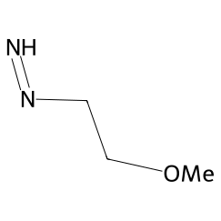 COCCN=N